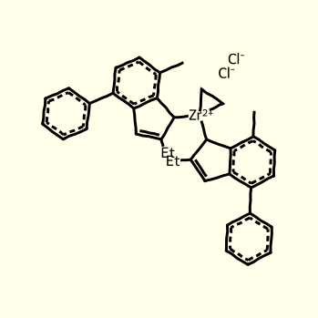 CCC1=Cc2c(-c3ccccc3)ccc(C)c2[CH]1[Zr+2]1([CH]2C(CC)=Cc3c(-c4ccccc4)ccc(C)c32)[CH2][CH2]1.[Cl-].[Cl-]